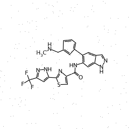 CNCc1cccc(-c2cc3cn[nH]c3cc2NC(=O)c2csc(-c3cc(C(F)(F)F)n[nH]3)n2)c1